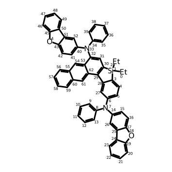 CC[Si]1(CC)c2ccc(N(c3ccccc3)c3ccc4oc5ccccc5c4c3)cc2-c2c1cc(N(c1ccccc1)c1ccc3oc4ccccc4c3c1)c1cc3ccccc3cc21